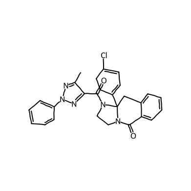 Cc1nn(-c2ccccc2)nc1C(=O)N1CCN2C(=O)c3ccccc3CC21C1=CC=C(Cl)CC1